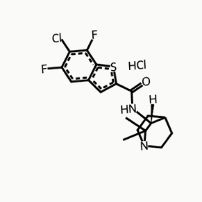 CC1(C)[C@H](NC(=O)c2cc3cc(F)c(Cl)c(F)c3s2)C2CCN1CC2.Cl